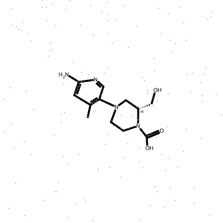 Cc1cc(N)ncc1N1CCN(C(=O)O)[C@@H](CO)C1